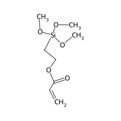 C=CC(=O)OCC[Si](OC)(OC)OC